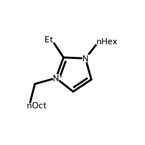 CCCCCCCCC[n+]1ccn(CCCCCC)c1CC